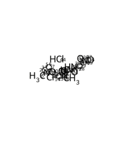 Cc1ccc2cccc(OCc3c(Cl)ccc(N(C)C(=O)CNC(=O)Nc4cccc(C(=O)N5CCOCC5)c4)c3Cl)c2n1.Cl